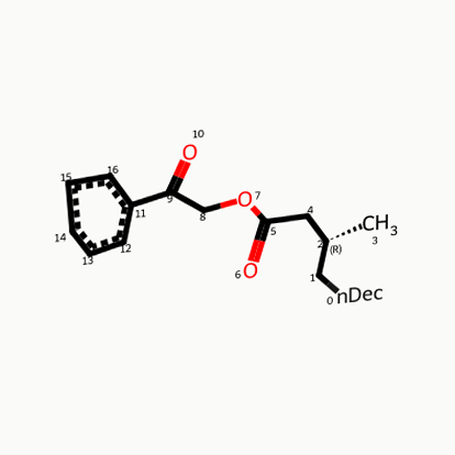 CCCCCCCCCCC[C@@H](C)CC(=O)OCC(=O)c1ccccc1